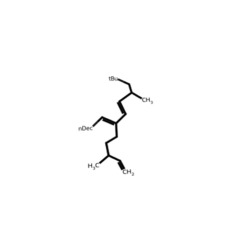 C=CC(C)CCC(C=CC(C)CC(C)(C)C)=CCCCCCCCCCC